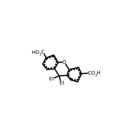 CCC1(CC)c2ccc(C(=O)O)cc2Oc2cc(C(=O)O)ccc21